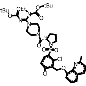 CCN(C(=O)OC(C)(C)C)C(=NC(=O)OC(C)(C)C)N1CCN(C(=O)[C@@H]2CCCN2S(=O)(=O)c2ccc(Cl)c(COc3cccc4ccc(C)nc34)c2Cl)CC1